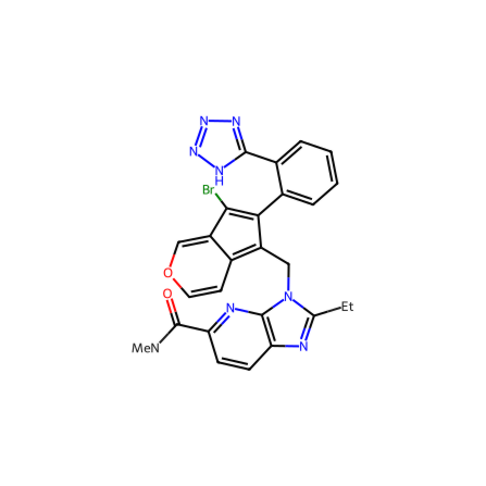 CCc1nc2ccc(C(=O)NC)nc2n1Cc1c2ccocc-2c(Br)c1-c1ccccc1-c1nnn[nH]1